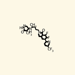 C[C@@H](CCCn1ccc2cc(-c3ccc(C(F)(F)F)cn3)c(F)c(F)c2c1=O)Nc1cn[nH]c(=O)c1C(F)(F)F